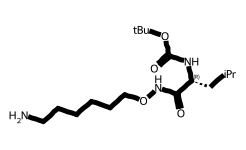 CC(C)C[C@@H](NC(=O)OC(C)(C)C)C(=O)NOCCCCCCN